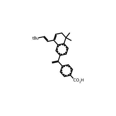 C=C(c1ccc(C(=O)O)cc1)c1ccc2c(c1)C(C=CC(C)(C)C)=CCC2(C)C